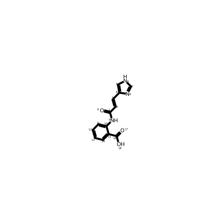 O=C(C=Cc1c[nH]cn1)Nc1ccccc1C(=O)O